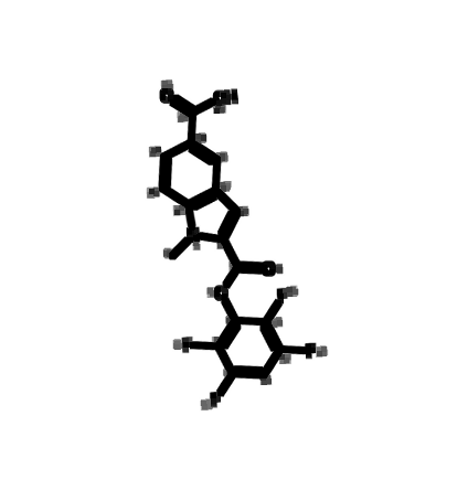 Cn1c(C(=O)Oc2c(F)c(F)cc(F)c2F)cc2cc(C(=O)O)ccc21